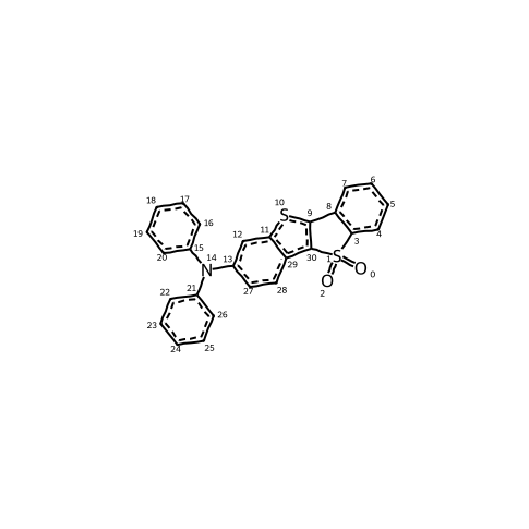 O=S1(=O)c2ccccc2-c2sc3cc(N(c4ccccc4)c4ccccc4)ccc3c21